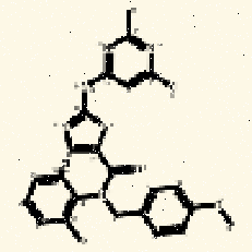 COc1ccc(CN(C(=O)c2cnc(Nc3cc(Cl)nc(C)n3)s2)c2c(C)cccc2Cl)cc1